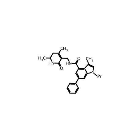 CC1=C(CNC(=O)c2cc(-c3ccccc3)cc3c2c(C)cn3C(C)C)C(=O)NC(C)C1